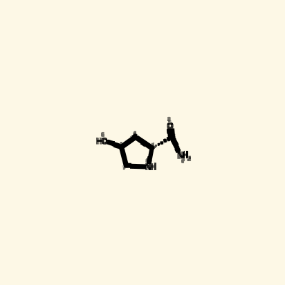 NC(=O)[C@H]1CC(O)CN1